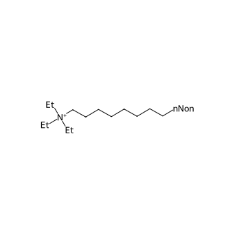 CCCCCCCCCCCCCCCCC[N+](CC)(CC)CC